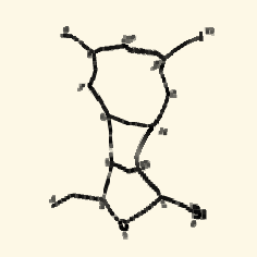 CCC(C)C1OC(C)C2C3CC(C)CC(I)CC3C12